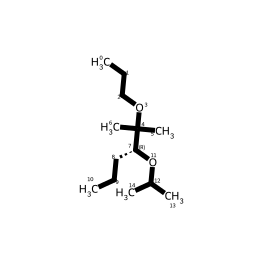 CCCOC(C)(C)[C@@H](CCC)OC(C)C